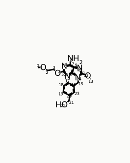 COCCOc1nc(N)c2nc(OC)n(Cc3cccc(CO)c3)c2n1